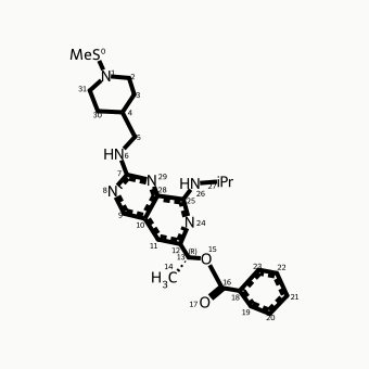 CSN1CCC(CNc2ncc3cc([C@@H](C)OC(=O)c4ccccc4)nc(NC(C)C)c3n2)CC1